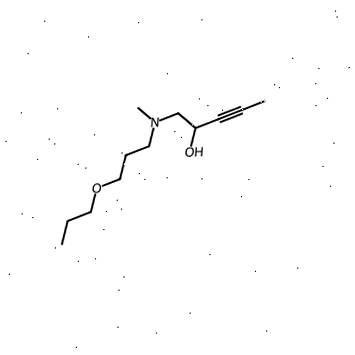 CC#CC(O)CN(C)CCCOCCC